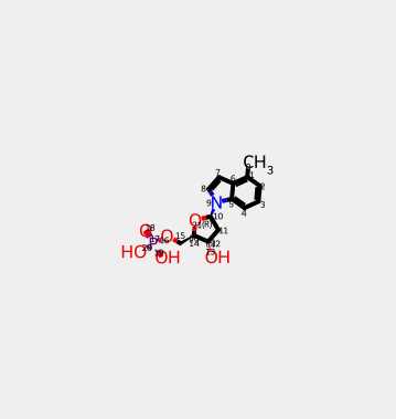 Cc1cccc2c1ccn2[C@H]1C[C@H](O)[C@@H](COP(=O)(O)O)O1